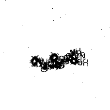 N#Cc1c(O)ccc(C(=O)OC(=O)c2occ(COC(=O)NCCc3ccccc3)c2-c2ccccc2)c1C(=O)NN